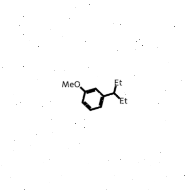 CCC(CC)c1cccc(OC)c1